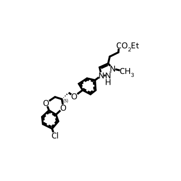 CCOC(=O)CCC1=CN(c2ccc(OC[C@H]3COc4ccc(Cl)cc4O3)cc2)NN1C